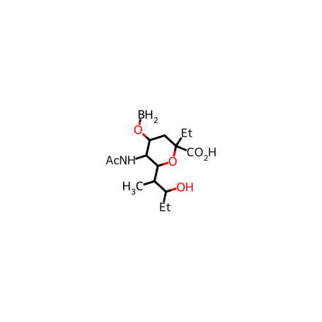 BOC1CC(CC)(C(=O)O)OC(C(C)C(O)CC)C1NC(C)=O